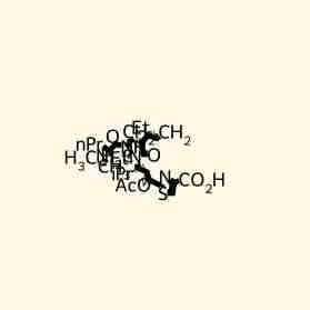 C=C[C@@H](CC)[C@H](C(=C)NC(=O)C(CC)(CCC)N(C)C)C(=O)N(C)[C@H](C[C@@H](OC(C)=O)c1nc(C(=O)O)cs1)C(C)C